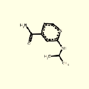 CC(C)Nc1cc(C(N)=O)ccn1